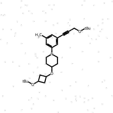 Cc1cc(C#CCOC(C)(C)C)cc(N2CCC(OC3CC(OC(C)(C)C)C3)CC2)c1